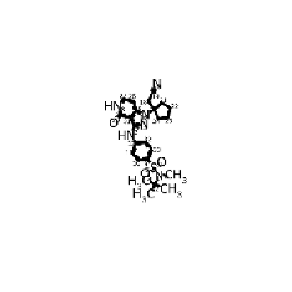 CN(C(C)(C)C)S(=O)(=O)c1ccc(Nc2nn(C3(CC#N)CCCC3)c3cc[nH]c(=O)c23)cc1